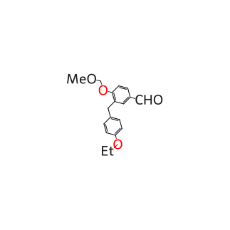 CCOc1ccc(Cc2cc(C=O)ccc2OCOC)cc1